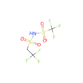 O=S(=O)(CC(F)(F)F)NS(=O)(=O)C(F)(F)F